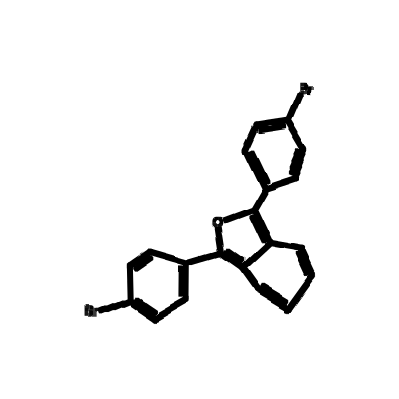 Brc1ccc(-c2oc(-c3ccc(Br)cc3)c3ccccc23)cc1